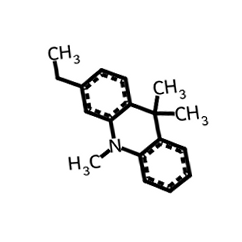 CCc1ccc2c(c1)N(C)c1ccccc1C2(C)C